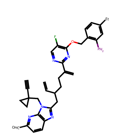 C#CC1(Cn2c(CC(C=C)CCC(=C)c3ncc(F)c(OCc4ccc(CC)cc4P)n3)nc3ccc(C=O)nc32)CC1